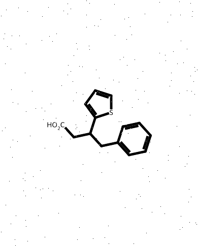 O=C(O)CC(Cc1ccccc1)c1cccs1